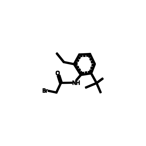 CCc1cccc(C(C)(C)C)c1NC(=O)CBr